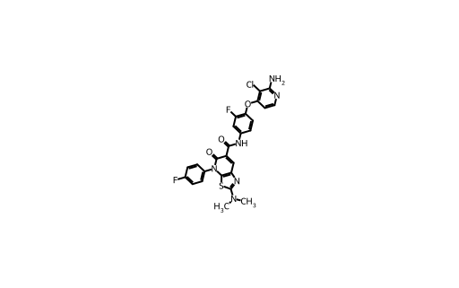 CN(C)c1nc2cc(C(=O)Nc3ccc(Oc4ccnc(N)c4Cl)c(F)c3)c(=O)n(-c3ccc(F)cc3)c2s1